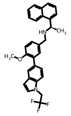 COc1ccc(CN[C@H](C)c2cccc3ccccc23)cc1-c1ccc2c(ccn2CC(F)(F)F)c1